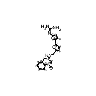 NC(N)=Nc1nc(-c2ccc(CNOCc3ccccc3[N+](=O)[O-])o2)cs1